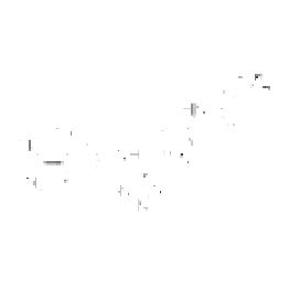 C[C@@H]1C[C@H]1C(=O)Nc1ccc(-c2nnn(C)c2NC(=O)O[C@H](C)c2cc(F)cnc2Cl)nc1